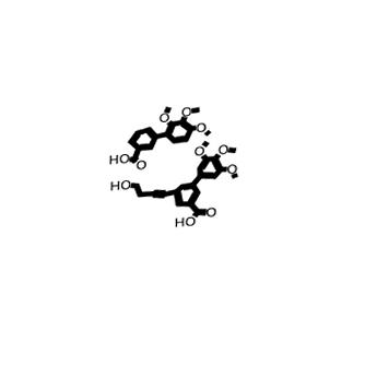 COc1cc(-c2cc(C#CCCO)cc(C(=O)O)c2)cc(OC)c1OC.COc1ccc(-c2cccc(C(=O)O)c2)c(OC)c1OC